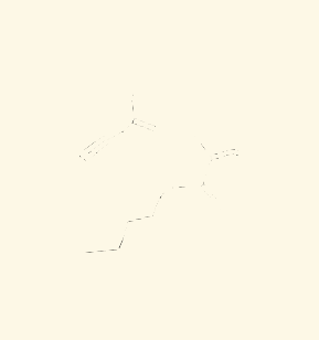 C=C(C)C#N.C=C(C)C(=O)OCCCC